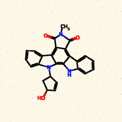 CN1C(=O)c2c(c3c4ccccc4n(C4C=C[C@@H](O)C4)c3c3[nH]c4ccccc4c23)C1=O